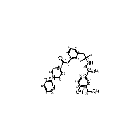 CC(C)(Cc1cccc(CC(=O)N2CCN(c3ccccn3)CC2)c1)NCC(O)c1ccc(O)c(CO)n1